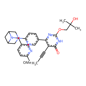 CC#Cc1c(-c2ccc(N3CC4CC(C3)N4Cc3ccc(OC)nc3)nc2)nc(OCC(C)(C)O)[nH]c1=O